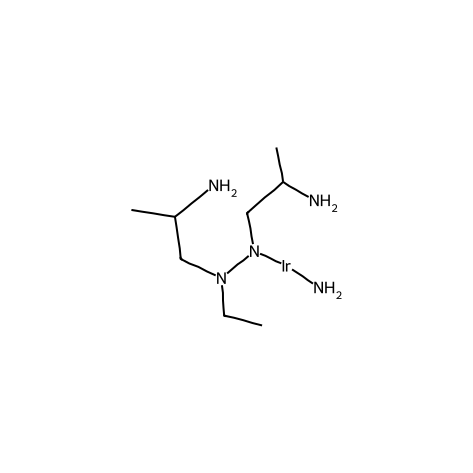 CCN(CC(C)N)[N](CC(C)N)[Ir][NH2]